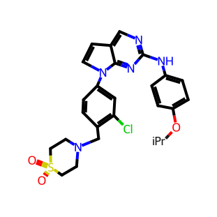 CC(C)Oc1ccc(Nc2ncc3ccn(-c4ccc(CN5CCS(=O)(=O)CC5)c(Cl)c4)c3n2)cc1